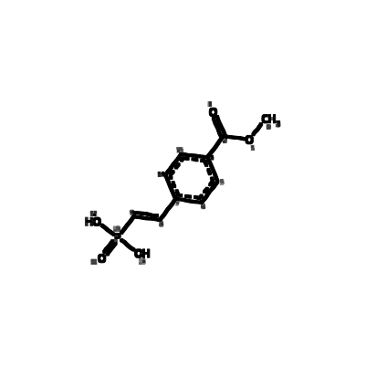 COC(=O)c1ccc(C=CP(=O)(O)O)cc1